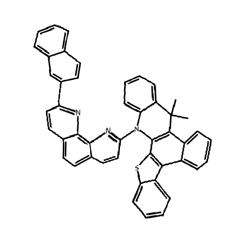 CC1(C)c2ccccc2N(c2ccc3ccc4ccc(-c5ccc6ccccc6c5)nc4c3n2)c2c1c1ccccc1c1c2sc2ccccc21